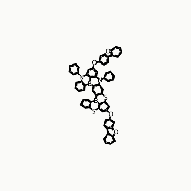 c1ccc(N2c3ccccc3B3c4cc5c(cc4N(c4ccccc4)c4cc(Oc6ccc7c(c6)oc6ccccc67)cc2c43)Sc2cc(Oc3ccc4c(c3)oc3ccccc34)cc3c2B5c2ccccc2S3)cc1